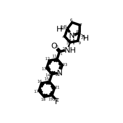 O=C(N[C@H]1C[C@H]2CC[C@@H](C1)N2)c1ccc(-c2cccc(F)c2)nc1